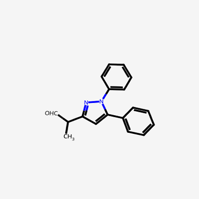 CC(C=O)c1cc(-c2ccccc2)n(-c2ccccc2)n1